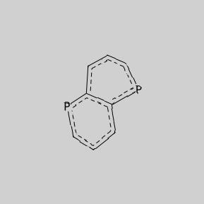 c1cpc2cccpc2c1